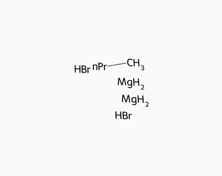 Br.Br.CCCC.[MgH2].[MgH2]